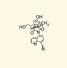 CC12OC(CCO)(C[C@@H]1O)[C@H]1C(=O)N(c3ccc(C#N)c4ncccc34)C(=O)[C@H]12